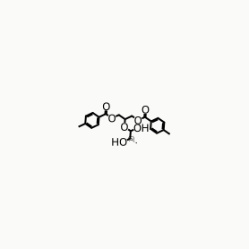 Cc1ccc(C(=O)OCC(COC(=O)c2ccc(C)cc2)OC(O)[C@H](C)O)cc1